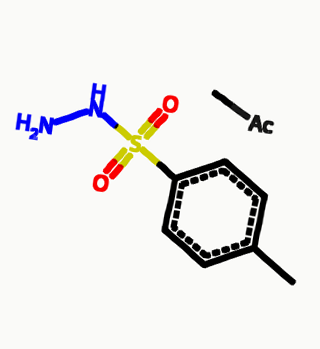 CC(C)=O.Cc1ccc(S(=O)(=O)NN)cc1